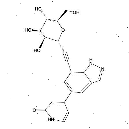 O=c1cc(-c2cc(C#C[C@H]3O[C@H](CO)[C@@H](O)[C@H](O)[C@@H]3O)c3[nH]ncc3c2)cc[nH]1